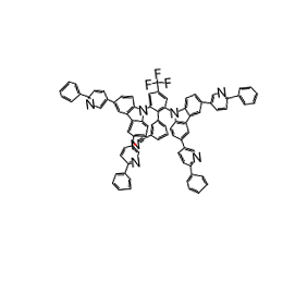 N#Cc1cccc(-c2c(-n3c4ccc(-c5ccc(-c6ccccc6)nc5)cc4c4cc(-c5ccc(-c6ccccc6)nc5)ccc43)cc(C(F)(F)F)cc2-n2c3ccc(-c4ccc(-c5ccccc5)nc4)cc3c3cc(-c4ccc(-c5ccccc5)nc4)ccc32)c1